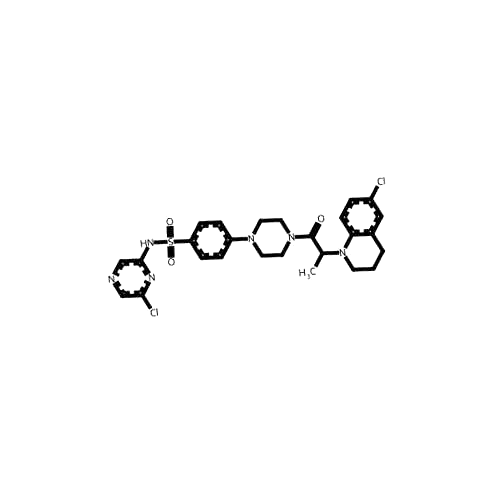 CC(C(=O)N1CCN(c2ccc(S(=O)(=O)Nc3cncc(Cl)n3)cc2)CC1)N1CCCc2cc(Cl)ccc21